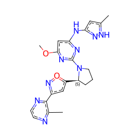 COc1cc(Nc2cc(C)[nH]n2)nc(N2CCC[C@H]2c2cc(-c3nccnc3C)no2)n1